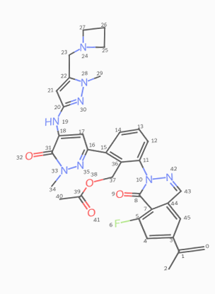 C=C(C)c1cc(F)c2c(=O)n(-c3cccc(-c4cc(Nc5cc(CN6CCC6)n(C)n5)c(=O)n(C)n4)c3COC(C)=O)ncc2c1